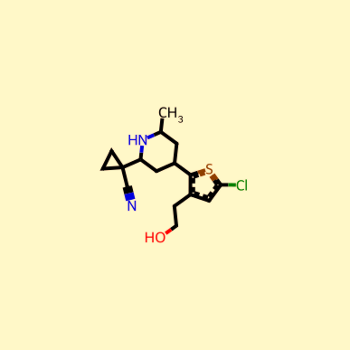 CC1CC(c2sc(Cl)cc2CCO)CC(C2(C#N)CC2)N1